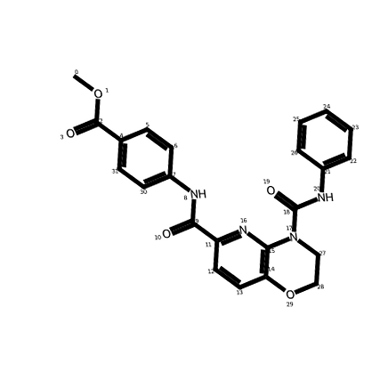 COC(=O)c1ccc(NC(=O)c2ccc3c(n2)N(C(=O)Nc2ccccc2)CCO3)cc1